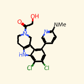 CNc1ccc(-c2cc(Cl)c(Cl)c3[nH]c4c(c23)CN(C(=O)CO)CC4)cn1